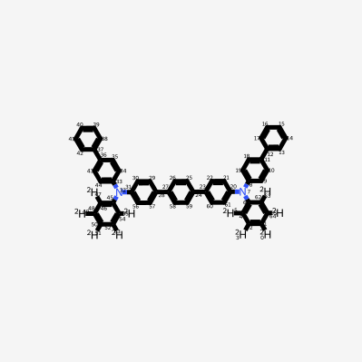 [2H]c1c([2H])c([2H])c(N(c2ccc(-c3ccccc3)cc2)c2ccc(-c3ccc(-c4ccc(N(c5ccc(-c6ccccc6)cc5)c5c([2H])c([2H])c([2H])c([2H])c5[2H])cc4)cc3)cc2)c([2H])c1[2H]